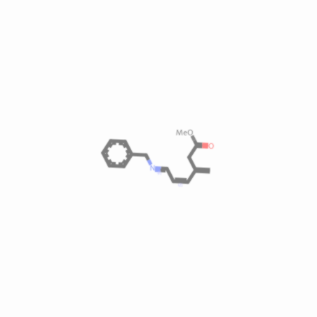 C=C(/C=C\C=N\Cc1ccccc1)CC(=O)OC